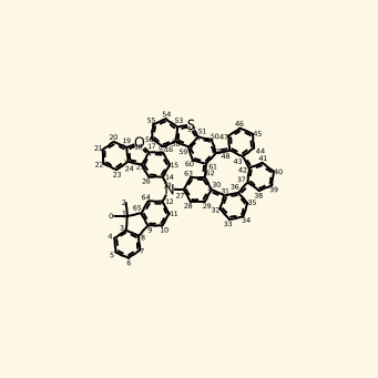 CC1(C)c2ccccc2-c2ccc(N(c3ccc4oc5ccccc5c4c3)c3ccc4c5ccccc5c5ccccc5c5ccccc5c5cc6sc7ccccc7c6cc5c4c3)cc21